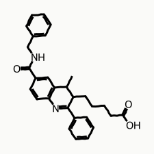 CC1c2cc(C(=O)NCc3ccccc3)ccc2N=C(c2ccccc2)C1CCCCC(=O)O